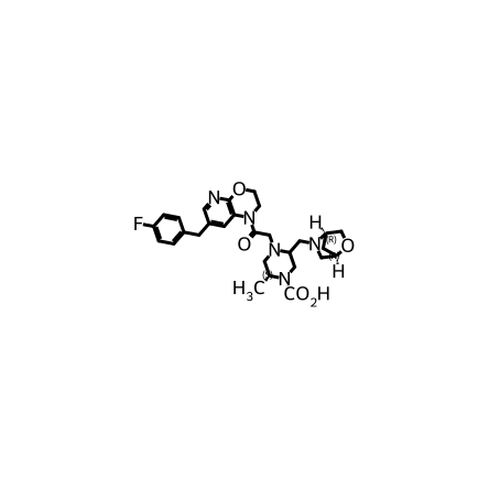 C[C@H]1CN(CC(=O)N2CCOc3ncc(Cc4ccc(F)cc4)cc32)C(CN2C[C@H]3C[C@@H]2CO3)CN1C(=O)O